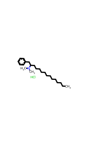 CCCCCCCCCCCCCC(Cc1ccccc1)N(C)C.Cl